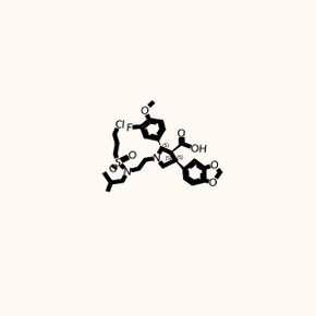 COc1ccc([C@@H]2[C@@H](C(=O)O)[C@@H](c3ccc4c(c3)OCO4)CN2CCN(CC(C)C)S(=O)(=O)CCCCl)cc1F